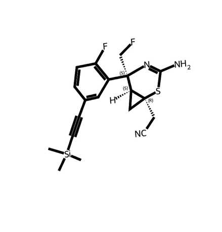 C[Si](C)(C)C#Cc1ccc(F)c([C@@]2(CF)N=C(N)S[C@@]3(CC#N)C[C@H]32)c1